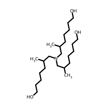 CC(CCCCCO)CN(CC(C)CCCCCO)CC(C)CCCCCO